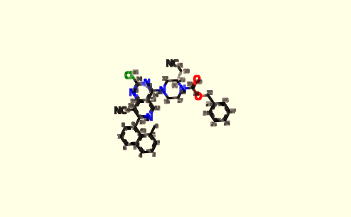 Cc1cccc2cccc(-c3ncc4c(N5CCN(C(=O)OCc6ccccc6)[C@@H](CC#N)C5)nc(Cl)nc4c3C#N)c12